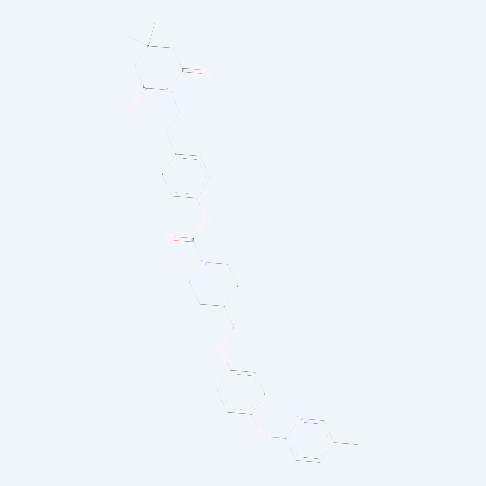 Cc1ccc(Oc2ccc(OCC3CCN(C(=O)Oc4ccc(CCN5C(=O)CC(C)(C)CC5=O)cc4)CC3)cc2)nc1